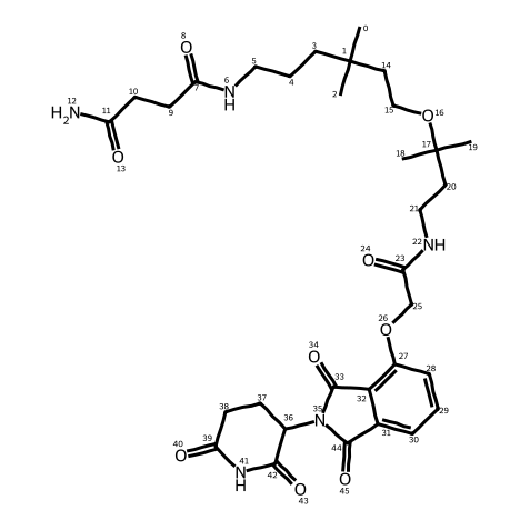 CC(C)(CCCNC(=O)CCC(N)=O)CCOC(C)(C)CCNC(=O)COc1cccc2c1C(=O)N(C1CCC(=O)NC1=O)C2=O